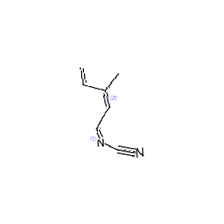 C=C/C(C)=C\C=N/C#N